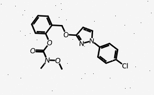 CON(C)C(=O)Oc1ccccc1COc1ccn(-c2ccc(Cl)cc2)n1